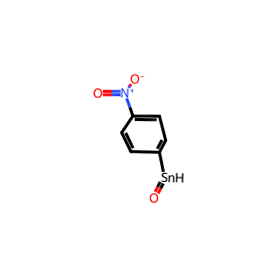 [O]=[SnH][c]1ccc([N+](=O)[O-])cc1